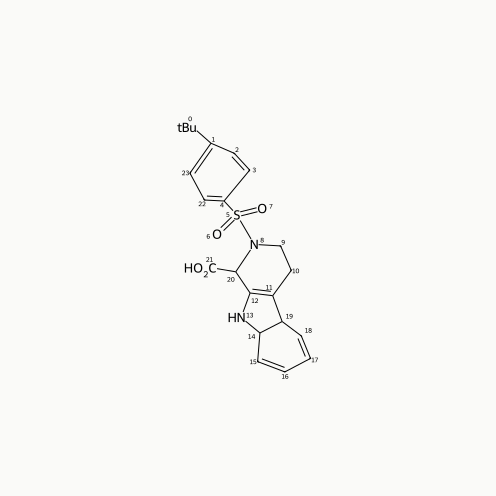 CC(C)(C)c1ccc(S(=O)(=O)N2CCC3=C(NC4C=CC=CC34)C2C(=O)O)cc1